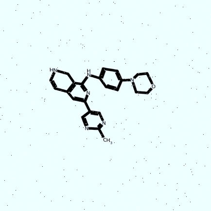 Cc1ncc(-c2cc3c(c(Nc4ccc(N5CCOCC5)cc4)n2)CNC=C3)cn1